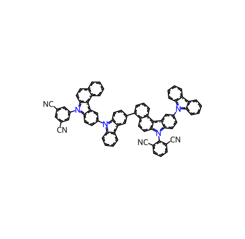 N#Cc1cc(C#N)cc(-n2c3ccc(-n4c5ccccc5c5cc(-c6cccc7c6ccc6c7c7cc(-n8c9ccccc9c9ccccc98)ccc7n6-c6c(C#N)cccc6C#N)ccc54)cc3c3c4ccccc4ccc32)c1